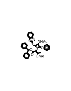 COC(C)=C(C(=O)OC(c1ccccc1)c1ccccc1)N1C(=O)C(NC(C)=O)C1Sc1nc2ccccc2s1.c1cc2cc(c1)O2